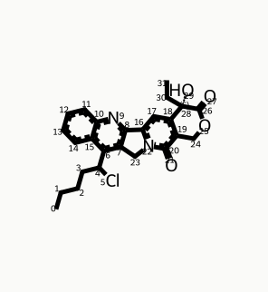 CCCCC(Cl)c1c2c(nc3ccccc13)-c1cc3c(c(=O)n1C2)COC(=O)[C@]3(O)CC